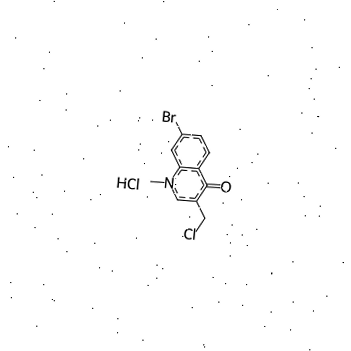 Cl.Cn1cc(CCl)c(=O)c2ccc(Br)cc21